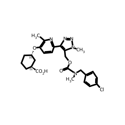 Cc1nc(-c2nnn(C)c2COC(=O)N(C)Cc2ccc(Cl)cc2)ccc1O[C@H]1CCC[C@H](C(=O)O)C1